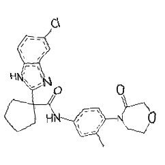 Cc1cc(NC(=O)C2(c3nc4cc(Cl)ccc4[nH]3)CCCC2)ccc1N1CCOCC1=O